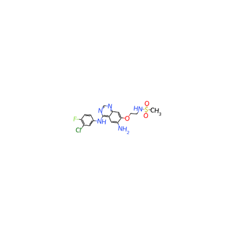 CS(=O)(=O)NCCOc1cc2ncnc(Nc3ccc(F)c(Cl)c3)c2cc1N